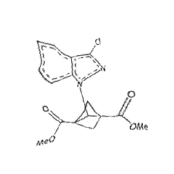 COC(=O)C12CC(C(=O)OC)(C1)C2n1nc(Cl)c2ccccc21